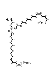 CCCCC/C=C\C/C=C\CCCCCCCCOC[C@H](CCN)OCCCCCCCC/C=C\C/C=C\CCCCC